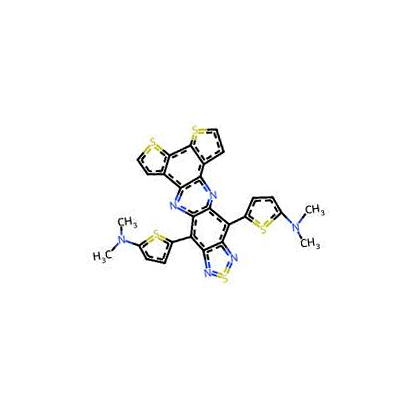 CN(C)c1ccc(-c2c3nsnc3c(-c3ccc(N(C)C)s3)c3nc4c5ccsc5c5sccc5c4nc23)s1